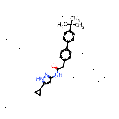 CC(C)(C)c1ccc(-c2ccc(CC(=O)Nc3cc(C4CC4)[nH]n3)cc2)cc1